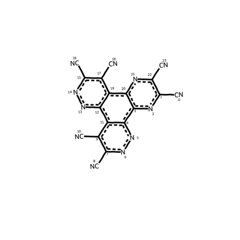 N#Cc1nc2c3nnc(C#N)c(C#N)c3c3nnc(C#N)c(C#N)c3c2nc1C#N